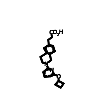 O=C(O)CCc1ccc2c(c1)CCN(c1cccc(OC3CCC3)n1)C2